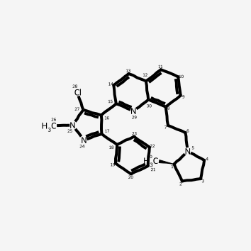 C[C@@H]1CCCN1CCc1cccc2ccc(-c3c(-c4ccccc4)nn(C)c3Cl)nc12